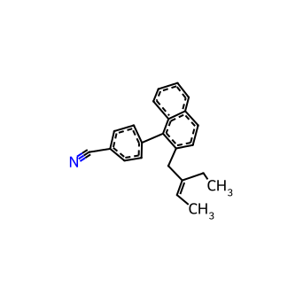 C/C=C(\CC)Cc1ccc2ccccc2c1-c1ccc(C#N)cc1